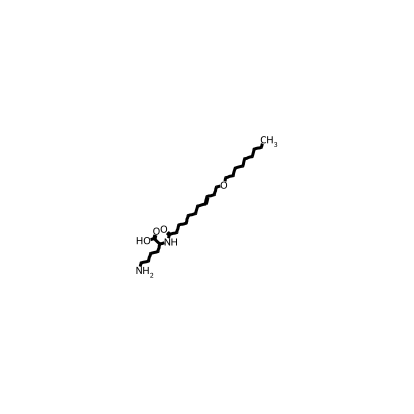 CCCCCCCCCOCCC=CCCCCCCC(=O)NC(CCCCN)C(=O)O